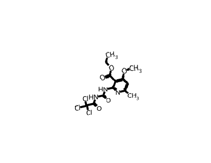 CCOC(=O)c1c(OC)cc(C)nc1NC(=O)NC(=O)C(Cl)(Cl)Cl